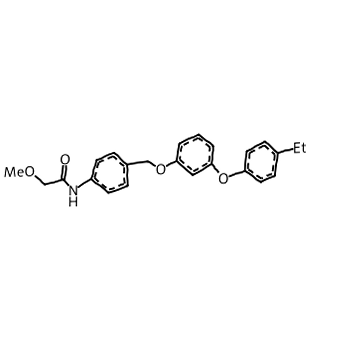 CCc1ccc(Oc2cccc(OCc3ccc(NC(=O)COC)cc3)c2)cc1